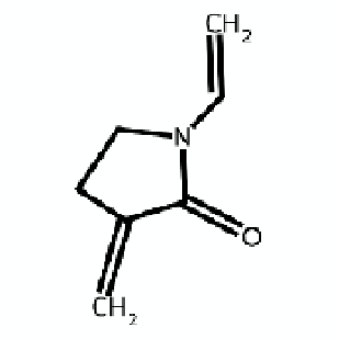 C=CN1CCC(=C)C1=O